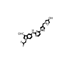 O=Cc1cn(CC(F)F)c2ccc(Nc3nccc(-n4cc(CN5CC(O)CO5)cn4)n3)cc12